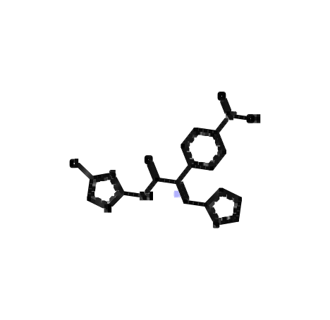 O=C(Nc1ncc(Cl)s1)/C(=C/c1cccs1)c1ccc([N+](=O)O)cc1